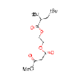 COC(=O)CC(=O)OCCOC(=O)C(CC(C)(C)C)C(C)(C)C